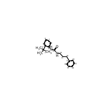 CC(C)(C)c1ccccc1NC(=O)NCCCc1ccccc1